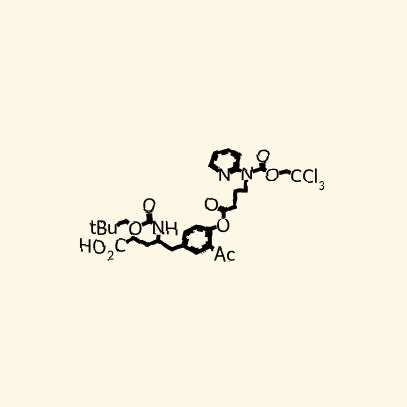 CC(=O)c1cc(CC(CCC(=O)O)NC(=O)OCC(C)(C)C)ccc1OC(=O)CCCN(C(=O)OCC(Cl)(Cl)Cl)c1ccccn1